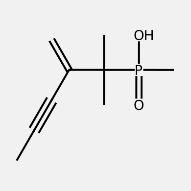 C=C(C#CC)C(C)(C)P(C)(=O)O